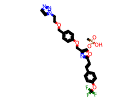 CS(=O)(=O)O.FC(F)(F)Oc1ccc(C=Cc2nc(COc3ccc(COCCn4ccnn4)cc3)co2)cc1